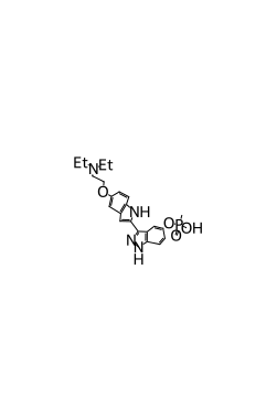 CCN(CC)CCOc1ccc2[nH]c(-c3n[nH]c4ccc(OP(C)(=O)O)cc34)cc2c1